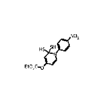 CCOC(=O)OC1=CC(S)(S)N(c2ccc([N+](=O)[O-])cc2)C=C1